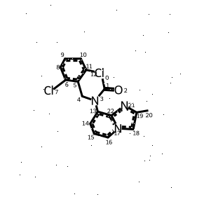 CC(=O)N(Cc1c(Cl)cccc1Cl)c1cccn2cc(C)nc12